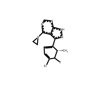 CCC1=CC=C(c2n[nH]c3ncnc(N4CC4)c23)[C@H](C)C1F